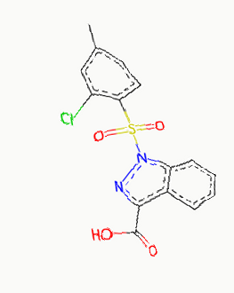 Cc1ccc(S(=O)(=O)n2nc(C(=O)O)c3ccccc32)c(Cl)c1